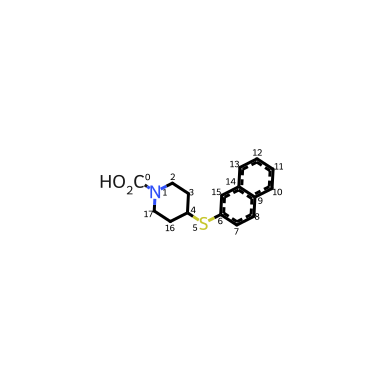 O=C(O)N1CCC(Sc2ccc3ccccc3c2)CC1